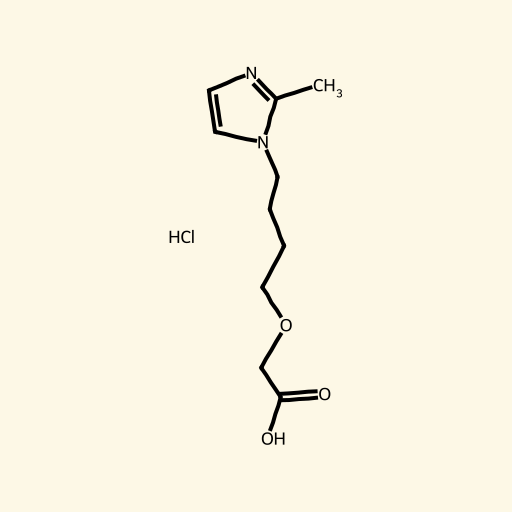 Cc1nccn1CCCCOCC(=O)O.Cl